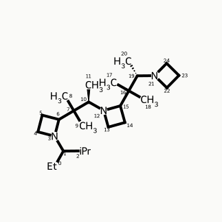 CCC(C(C)C)N1CCC1C(C)(C)[C@@H](C)N1CCC1C(C)(C)[C@H](C)N1CCC1